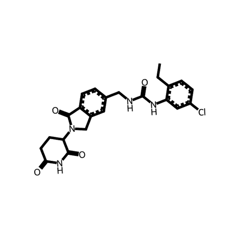 CCc1ccc(Cl)cc1NC(=O)NCc1ccc2c(c1)CN(C1CCC(=O)NC1=O)C2=O